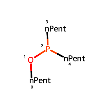 CCCCCOP(CCCCC)CCCCC